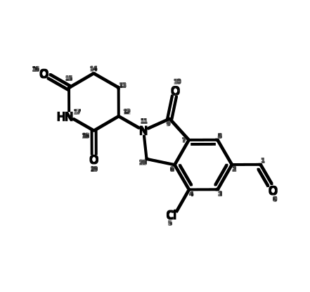 O=Cc1cc(Cl)c2c(c1)C(=O)N(C1CCC(=O)NC1=O)C2